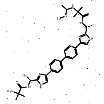 CCOC(C)NC(C)(C)C(=O)N[C@H](c1nc(-c2ccc(-c3ccc(-c4c[nH]c([C@@H](NC(=O)C(C)(C)NC)C(C)(C)C)n4)cc3)cc2)c[nH]1)C(C)(C)C